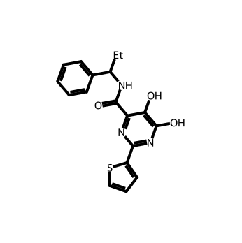 CCC(NC(=O)c1nc(-c2cccs2)nc(O)c1O)c1ccccc1